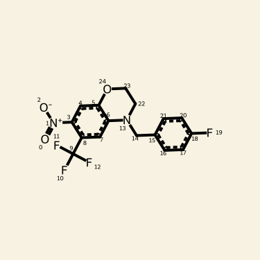 O=[N+]([O-])c1cc2c(cc1C(F)(F)F)N(Cc1ccc(F)cc1)CCO2